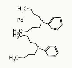 CCCCP(CCCC)c1ccccc1.CCCCP(CCCC)c1ccccc1.[Pd]